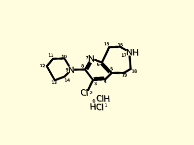 Cl.Cl.Clc1cc2c(nc1N1CCCCC1)CCNCC2